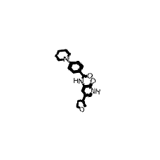 O=C(Nc1cc(C2=COCC2)c[nH]c1=O)c1ccc(N2CCCCC2)cc1